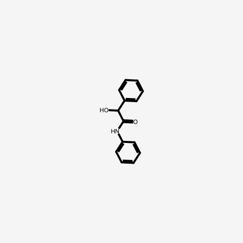 O=C(Nc1ccccc1)C(O)c1ccccc1